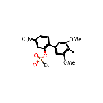 CCS(=O)(=O)Oc1cc([N+](=O)[O-])ccc1-c1cc(OC)c(C)c(OC)c1